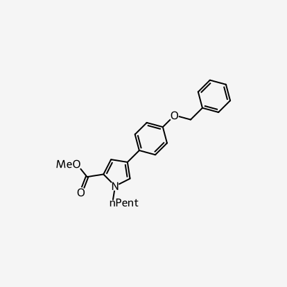 CCCCCn1cc(-c2ccc(OCc3ccccc3)cc2)cc1C(=O)OC